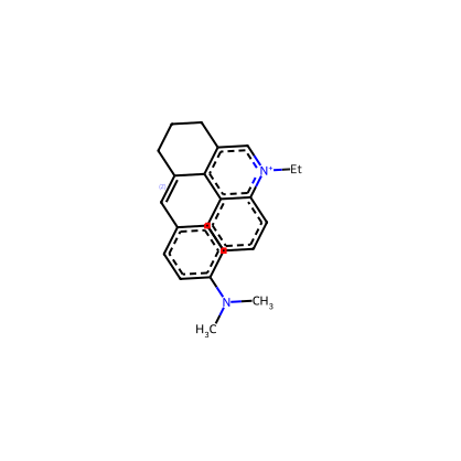 CC[n+]1cc2c(c3ccccc31)/C(=C\c1ccc(N(C)C)cc1)CCC2